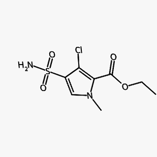 CCOC(=O)c1c(Cl)c(S(N)(=O)=O)cn1C